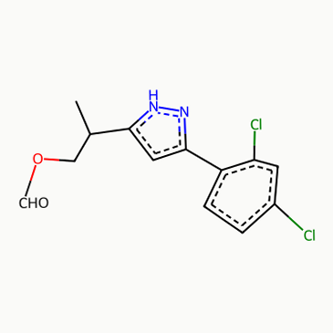 CC(COC=O)c1cc(-c2ccc(Cl)cc2Cl)n[nH]1